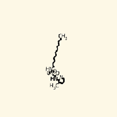 CCCCCCCCCCCCNS(=O)(=O)CC(=O)Nc1ncccc1C